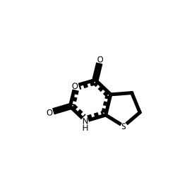 O=c1[nH]c2c(c(=O)o1)CCS2